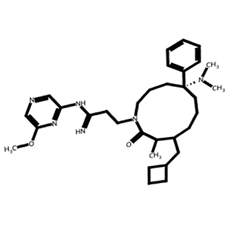 COc1cncc(NC(=N)CCN2CCC[C@](c3ccccc3)(N(C)C)CCCC(CC3CCC3)C(C)C2=O)n1